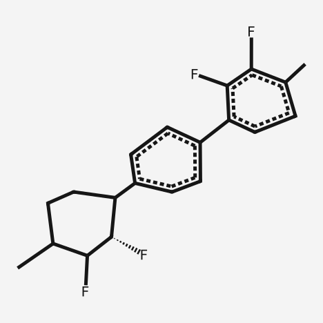 Cc1ccc(-c2ccc(C3CCC(C)C(F)[C@H]3F)cc2)c(F)c1F